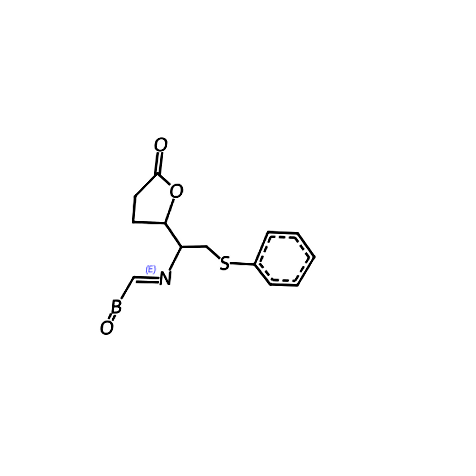 O=B/C=N/C(CSc1ccccc1)C1CCC(=O)O1